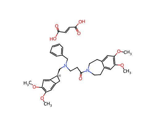 COc1cc2c(cc1OC)CCN(C(=O)CCN(Cc1ccccc1)C[C@H]1Cc3cc(OC)c(OC)cc31)CC2.O=C(O)C=CC(=O)O